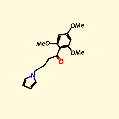 COc1cc(OC)c(C(=O)CCCn2cccc2)c(OC)c1